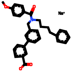 COc1ccc(C(=O)N(CCCCc2ccccc2)Cc2cccc(-c3cccc(C(=O)[O-])c3)c2)cc1.[Na+]